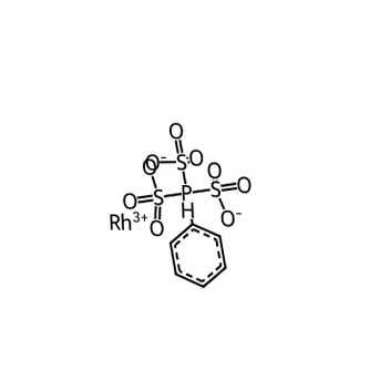 O=S(=O)([O-])[PH](c1ccccc1)(S(=O)(=O)[O-])S(=O)(=O)[O-].[Rh+3]